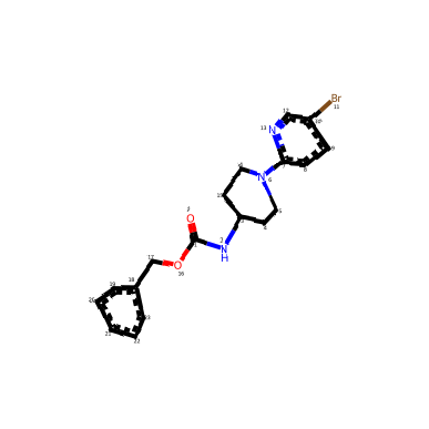 O=C(NC1CCN(c2ccc(Br)cn2)CC1)OCc1ccccc1